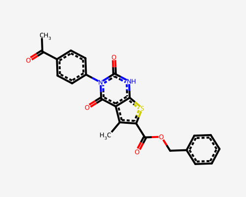 CC(=O)c1ccc(-n2c(=O)[nH]c3sc(C(=O)OCc4ccccc4)c(C)c3c2=O)cc1